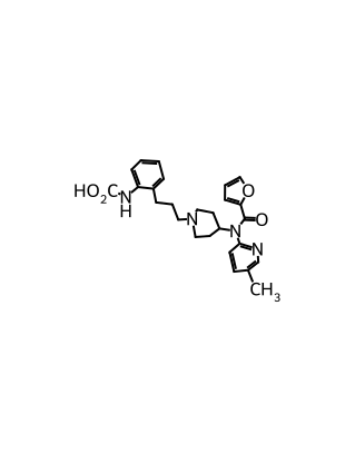 Cc1ccc(N(C(=O)c2ccco2)C2CCN(CCCc3ccccc3NC(=O)O)CC2)nc1